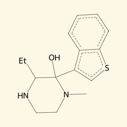 CCC1NCCN(C)C1(O)c1csc2ccccc12